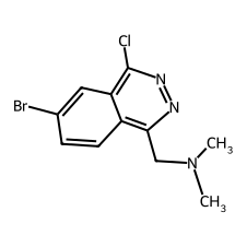 CN(C)Cc1nnc(Cl)c2cc(Br)ccc12